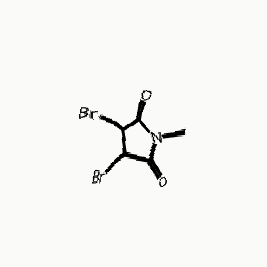 CN1C(=O)C(Br)C(Br)C1=O